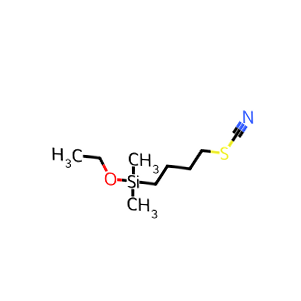 CCO[Si](C)(C)CCCCSC#N